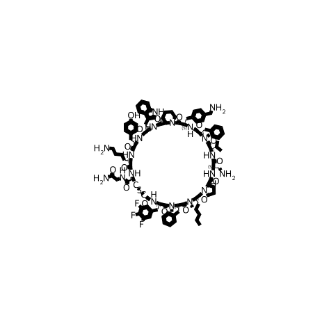 CCCCC[C@H]1C(=O)N2CCC[C@@H]2C(=O)N[C@@H](CN)C(=O)N[C@@H](C(C)C)C(=O)N(C)[C@@H](Cc2ccccc2)C(=O)N[C@@H](Cc2ccc(CN)cc2)C(=O)N2CCCC[C@@H]2C(=O)N[C@@H](Cc2c[nH]c3ccccc23)C(=O)N[C@@H](Cc2ccc(O)cc2)C(=O)N[C@@H](CCCCN)C(=O)N[C@H](C(=O)NCC(N)=O)CSCC(=O)N[C@@H](Cc2cc(F)c(F)c(F)c2)C(=O)N(C)[C@@H](Cc2ccccc2)C(=O)N1C